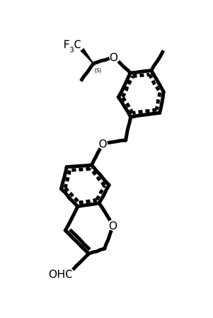 Cc1ccc(COc2ccc3c(c2)OCC(C=O)=C3)cc1O[C@@H](C)C(F)(F)F